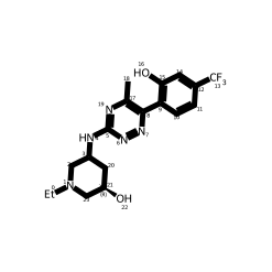 CCN1CC(Nc2nnc(-c3ccc(C(F)(F)F)cc3O)c(C)n2)C[C@@H](O)C1